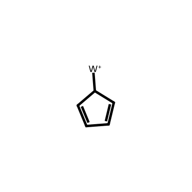 [W+][CH]1C=CC=C1